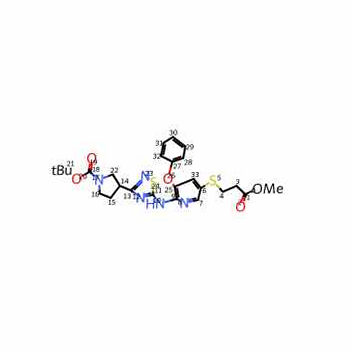 COC(=O)CCSc1cnc(Nc2nc(C3CCN(C(=O)OC(C)(C)C)C3)ns2)c(Oc2ccccc2)c1